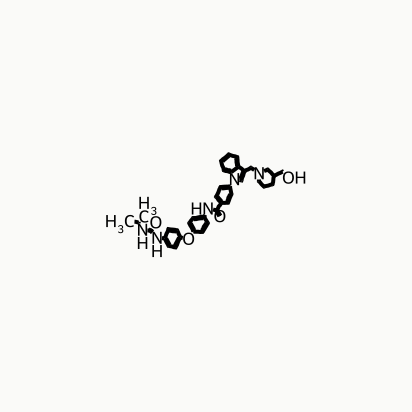 CC(C)NC(=O)Nc1ccc(Oc2ccc(NC(=O)c3ccc(-n4cc(CN5CCCC(CO)C5)c5ccccc54)cc3)cc2)cc1